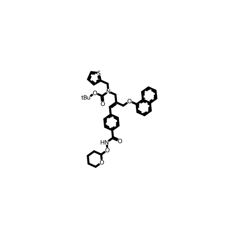 CC(C)(C)OC(=O)N(C/C(=C/c1ccc(C(=O)NOC2CCCCO2)cc1)COc1cccc2ccccc12)Cc1cccs1